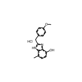 COc1ccc(Cc2nc3c(O)ccc(C)c3[nH]2)cc1.Cl